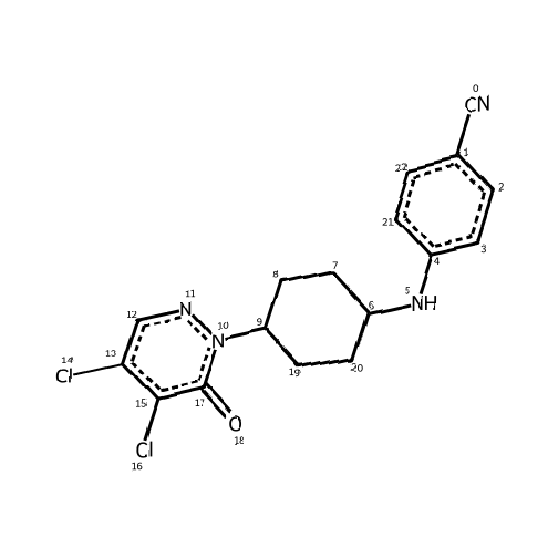 N#Cc1ccc(NC2CCC(n3ncc(Cl)c(Cl)c3=O)CC2)cc1